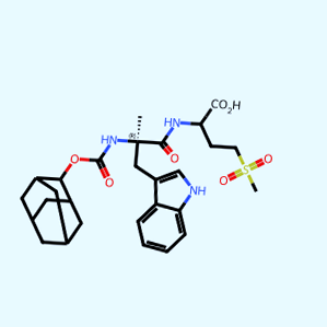 C[C@](Cc1c[nH]c2ccccc12)(NC(=O)OC1C2CC3CC(C2)CC1C3)C(=O)NC(CCS(C)(=O)=O)C(=O)O